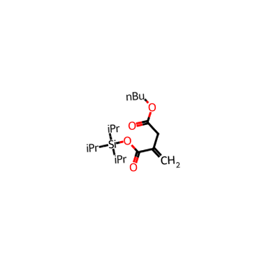 C=C(CC(=O)OCCCC)C(=O)O[Si](C(C)C)(C(C)C)C(C)C